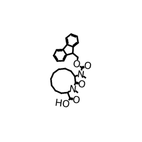 CN(C(=O)OCC1c2ccccc2-c2ccccc21)C1CCCCCCCCC(C(=O)O)N(C)C1=O